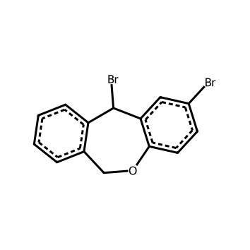 Brc1ccc2c(c1)C(Br)c1ccccc1CO2